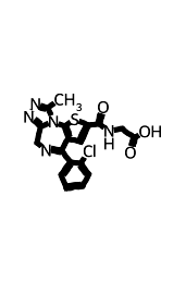 Cc1nnc2n1-c1sc(C(=O)NCC(=O)O)cc1C(c1ccccc1Cl)=NC2